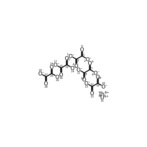 O=C([O-])C(=O)[O-].O=C([O-])C(=O)[O-].O=C([O-])C(=O)[O-].O=C([O-])C(=O)[O-].O=C([O-])C(=O)[O-].[Th+4].[U+6]